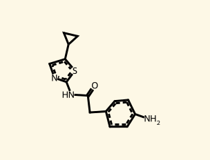 Nc1ccc(CC(=O)Nc2ncc(C3CC3)s2)cc1